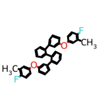 Cc1cc(Oc2cccc(-c3ccccc3-c3ccccc3-c3cccc(Oc4ccc(F)c(C)c4)c3)c2)ccc1F